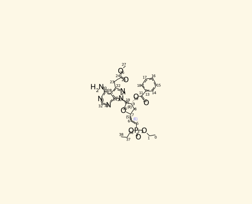 CCOP(=O)(/C=C/[C@@H]1C[C@@H](OC(=O)c2ccccc2)[C@H](n2nc(CC(=O)OC)c3c(N)ncnc32)O1)OCC